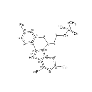 CS(=O)(=O)OCCC1Cc2cc(F)ccc2-c2[nH]c3c(F)cc(F)cc3c21